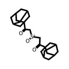 O=C(C[S+]([O-])CC(=O)C12CC3CC(CC(C3)C1)C2)C12CC3CC(CC(C3)C1)C2